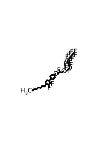 CCCCCCCCc1ccc(-c2ccc(OCC(F)COCC(F)(F)OC(F)(F)C(F)(F)OC(F)(F)C(F)(F)C(F)(F)C(F)(F)F)cc2)c(F)c1F